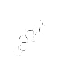 CC(=O)c1sc(=Nc2ccc(N3CCCCC3=O)cc2)n(C2CC2)c1C